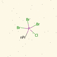 CCCP(Cl)(Br)(Br)Br